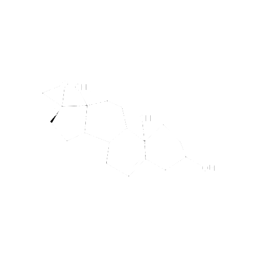 CC12CCC(O)CC1=CCC1C2CCC2(C)C1CC[C@]21CO1